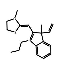 C=CC1(C)C(/C=C2\SCCN2C)=[N+](CCC)c2ccccc21